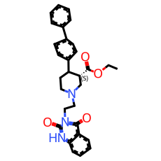 CCOC(=O)[C@@H]1CN(CCn2c(=O)[nH]c3ccccc3c2=O)CCC1c1ccc(-c2ccccc2)cc1